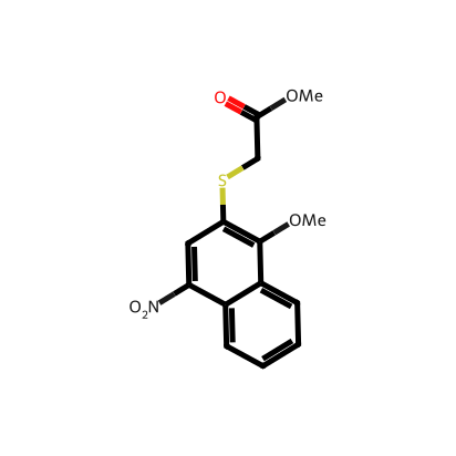 COC(=O)CSc1cc([N+](=O)[O-])c2ccccc2c1OC